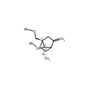 C=C1C[C@@]2(COC(C)(C)C)O[C@@H](C)C1[C@H]2OC(C)(C)C